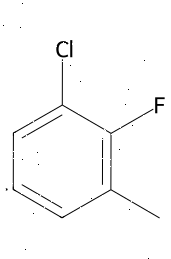 Cc1c[c]cc(Cl)c1F